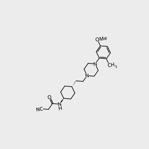 COc1ccc(C)c(N2CCN(CC[C@H]3CC[C@H](NC(=O)CC#N)CC3)CC2)c1